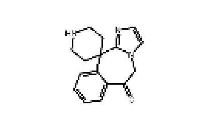 O=C1Cn2ccnc2C2(CCNCC2)c2ccccc21